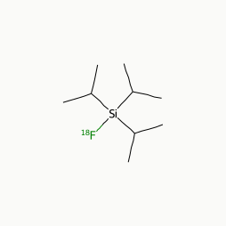 CC(C)[Si]([18F])(C(C)C)C(C)C